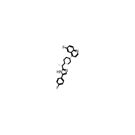 C[C@@H](c1ncc(-c2ccc(F)cc2)[nH]1)[C@H]1CC[C@@H](c2ccnc3ccc(F)cc32)CC1